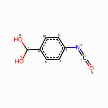 O=C=Nc1ccc(C(O)O)cc1